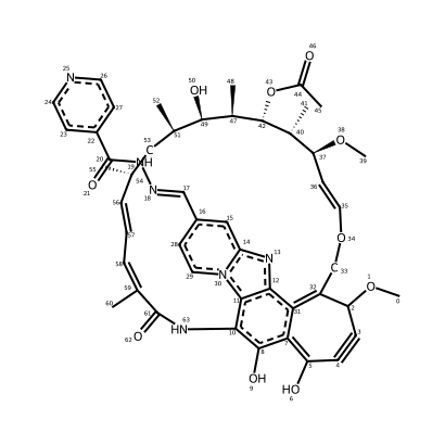 COC1C#CC(O)=c2c(O)c3c4c(nc5cc(/C=N/NC(=O)c6ccncc6)ccn54)c2=C1CO/C=C/[C@H](OC)[C@@H](C)[C@@H](OC(C)=O)[C@H](C)[C@H](O)[C@H](C)C[C@@H](C)/C=C/C=C(/C)C(=O)N3